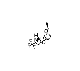 C#CCOc1cccc(OC2CC(C(F)(F)F)NN2C)n1